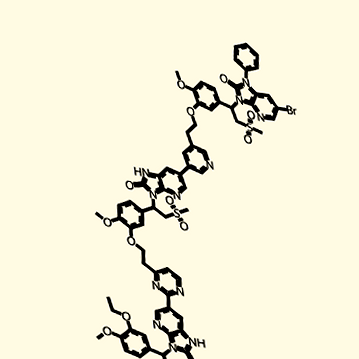 CCOc1cc(C(CS(C)(=O)=O)n2c(=O)[nH]c3cc(-c4nccc(CCOc5cc(C(CS(C)(=O)=O)n6c(=O)[nH]c7cc(-c8cncc(CCOc9cc(C(CS(C)(=O)=O)n%10c(=O)n(-c%11ccccc%11)c%11cc(Br)cnc%11%10)ccc9OC)c8)cnc76)ccc5OC)n4)cnc32)ccc1OC